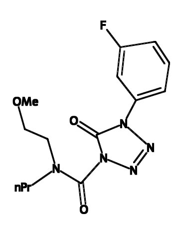 CCCN(CCOC)C(=O)n1nnn(-c2cccc(F)c2)c1=O